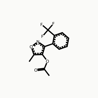 CC(=O)Oc1c(-c2ccccc2C(F)(F)F)noc1C